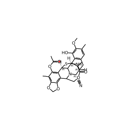 COc1c(C)cc2c(c1O)[C@H]1N[C@H](C2)[C@H](C#N)N2C3COC(=O)C(C)CS[C@H](c4c(OC(C)=O)c(C)c5c(c43)OCO5)C12